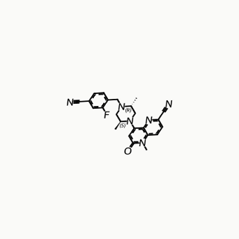 C[C@@H]1CN(c2cc(=O)n(C)c3ccc(C#N)nc23)[C@@H](C)CN1Cc1ccc(C#N)cc1F